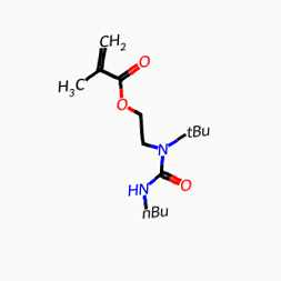 C=C(C)C(=O)OCCN(C(=O)NCCCC)C(C)(C)C